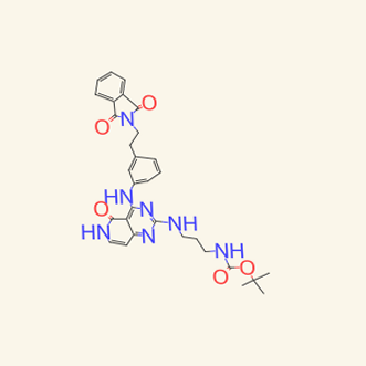 CC(C)(C)OC(=O)NCCCNc1nc(Nc2cccc(CCN3C(=O)c4ccccc4C3=O)c2)c2c(=O)[nH]ccc2n1